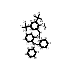 COc1c(CN(C)c2ccccc2P(c2ccccc2)c2ccccc2)cc(C(C)(C)C)cc1C(C)(C)C